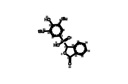 CC(C)(C)c1cc(P(=O)(O)C2OC(=O)c3ccccc32)cc(C(C)(C)C)c1O